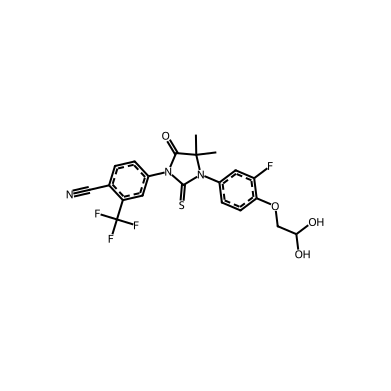 CC1(C)C(=O)N(c2ccc(C#N)c(C(F)(F)F)c2)C(=S)N1c1ccc(OCC(O)O)c(F)c1